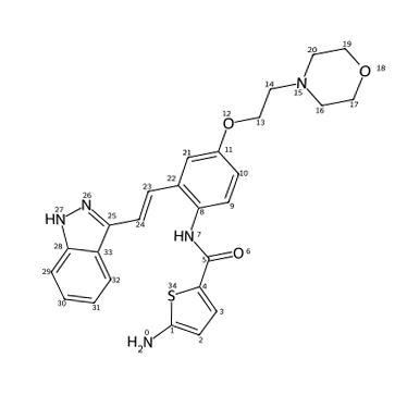 Nc1ccc(C(=O)Nc2ccc(OCCN3CCOCC3)cc2/C=C/c2n[nH]c3ccccc23)s1